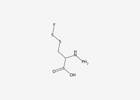 O=C(O)C(CSSF)NP